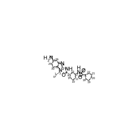 CCCn1c(NC(=O)c2cccc(NS(=O)(=O)c3ccccc3)c2)nc2cc(N)ccc21